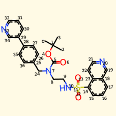 CC(C)(C)OC(=O)N(CCNS(=O)(=O)c1cccc2cnccc12)Cc1ccc(-c2cccnc2)cc1